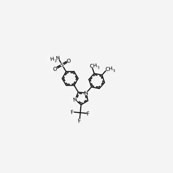 Cc1ccc(-n2cc(C(F)(F)F)nc2-c2ccc(S(N)(=O)=O)cc2)cc1C